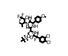 COc1ccc([C@H](NC(=O)[C@H](CO[Si](C)(C)C(C)(C)C)NC(=O)C(F)(F)c2ccc(Cl)c(Cl)c2)C(=O)N[C@@H](C(C)C)[C@H](O)C(F)(F)F)cc1